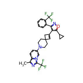 Cc1nc(C(F)(F)F)n2cc(N3CCC4(C=C(c5c(-c6ccccc6C(F)(F)F)noc5C5CC5)C4)CC3)ccc12